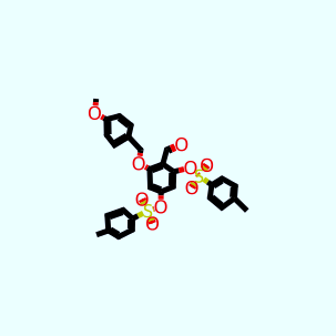 COc1ccc(COc2cc(OS(=O)(=O)c3ccc(C)cc3)cc(OS(=O)(=O)c3ccc(C)cc3)c2C=O)cc1